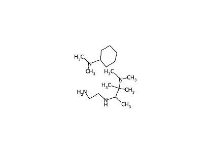 CC(NCCN)C(C)(C)N(C)C.CN(C)C1CCCCC1